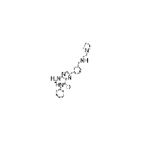 Nc1ncc(-c2cccc(CNCCN3CCCC3)c2)nc1C(=O)Nc1ccccc1